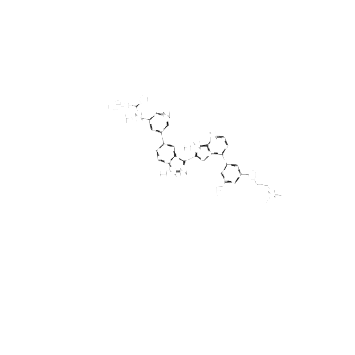 CCCCC(=O)Nc1cncc(-c2ccc3[nH]nc(-c4cc5c(-c6cc(F)cc(OCCN(C)C)c6)ccnc5[nH]4)c3c2)c1